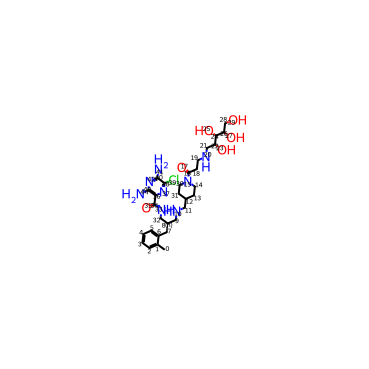 Cc1ccccc1C[C@H](CNCC1CCN(C(=O)CCNCC(O)C(O)C(O)CO)CC1)CNC(=O)c1nc(Cl)c(N)nc1N